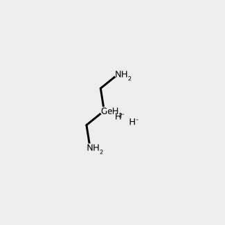 N[CH2][GeH2][CH2]N.[H-].[H-]